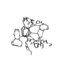 CC1=C(c2cccc3ccccc23)c2c3cccc2C(C)(C)c2cccc4c2C(c2cccc5ccccc25)=C(C)[CH]4[Ti]([CH3])([CH3])[CH]13